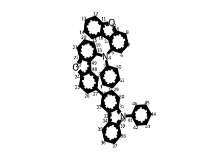 c1ccc(N(c2cccc3oc4ccccc4c23)c2cccc3oc4ccc(-c5ccc6c(c5)c5ccccc5n6-c5ccccc5)cc4c23)cc1